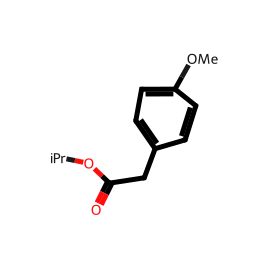 COc1ccc(CC(=O)OC(C)C)cc1